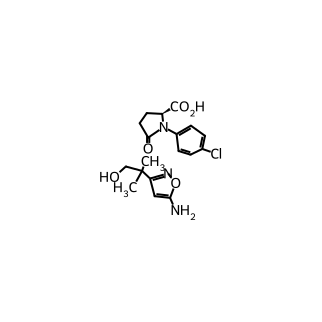 CC(C)(CO)c1cc(N)on1.O=C(O)[C@@H]1CCC(=O)N1c1ccc(Cl)cc1